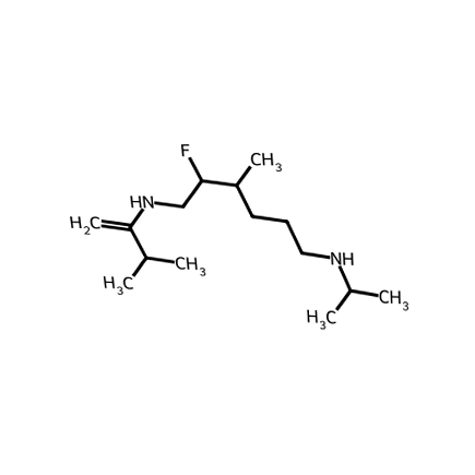 C=C(NCC(F)C(C)CCCNC(C)C)C(C)C